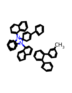 C1=CC(N(c2ccccc2)c2cccc3ccccc23)(N(c2ccccc2)c2cccc3ccccc23)CC=C1c1ccccc1.Cc1cccc(-c2ccccc2-c2ccccc2)c1